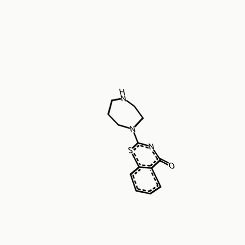 O=c1nc(N2CCCNCC2)sc2ccccc12